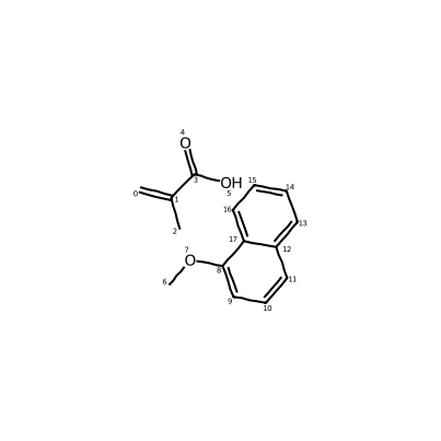 C=C(C)C(=O)O.COc1cccc2ccccc12